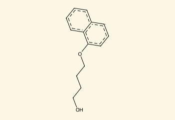 OCCCCOc1cc[c]c2ccccc12